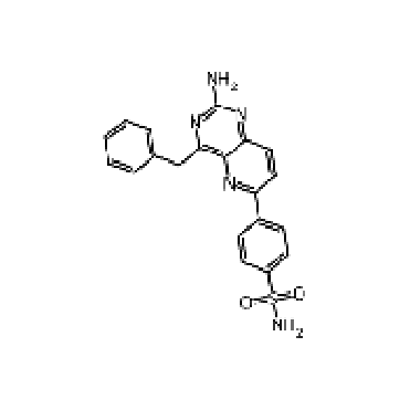 Nc1nc(Cc2ccccc2)c2nc(-c3ccc(S(N)(=O)=O)cc3)ccc2n1